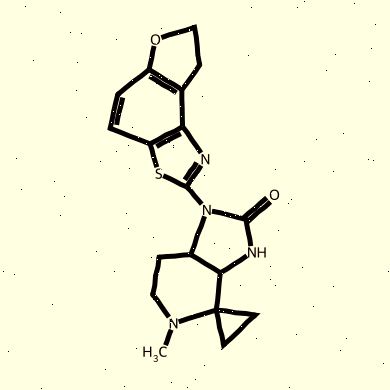 CN1CCC2C(NC(=O)N2c2nc3c4c(ccc3s2)OCC4)C12CC2